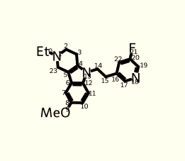 CCN1CCc2c(c3cc(OC)ccc3n2CCc2cncc(F)c2)C1